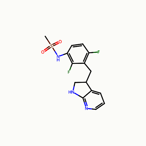 CS(=O)(=O)Nc1ccc(F)c(CC2CNc3ncccc32)c1F